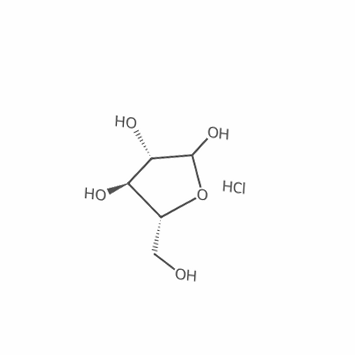 Cl.OC[C@H]1OC(O)[C@@H](O)[C@@H]1O